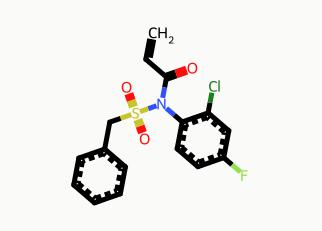 C=CC(=O)N(c1ccc(F)cc1Cl)S(=O)(=O)Cc1ccccc1